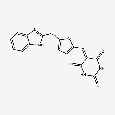 O=C1NC(=O)C(=Cc2ccc(Sc3nc4ccccc4[nH]3)o2)C(=O)N1